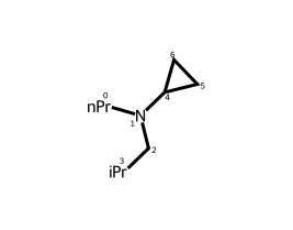 CCCN(CC(C)C)C1CC1